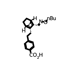 CCCCON=C[C@@H]1[C@H](CCc2ccc(C(=O)O)cc2)[C@@H]2CC[C@H]1O2